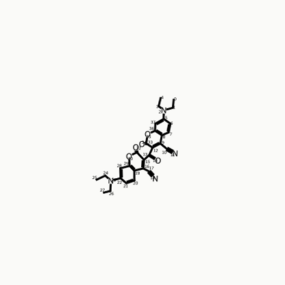 CCN(CC)c1ccc2c(C#N)c(C(=O)c3c(C#N)c4ccc(N(CC)CC)cc4oc3=O)c(=O)oc2c1